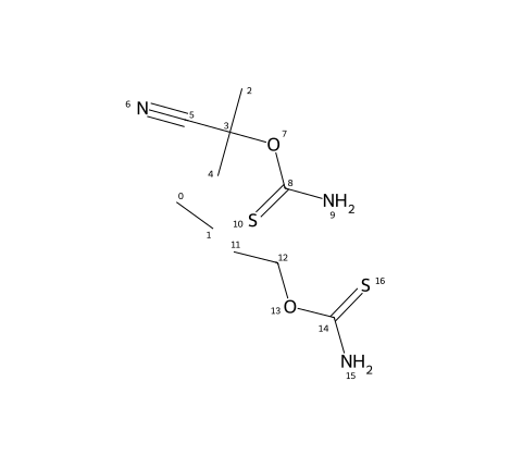 CC.CC(C)(C#N)OC(N)=S.CCOC(N)=S